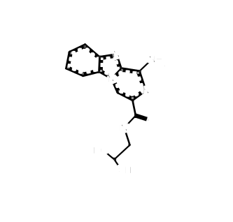 CC(C)CNC(=O)c1cn2c(nc3ccccc32)c(N)n1